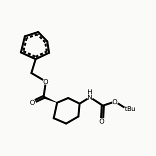 CC(C)(C)OC(=O)NC1CCC[C@@H](C(=O)OCc2ccccc2)C1